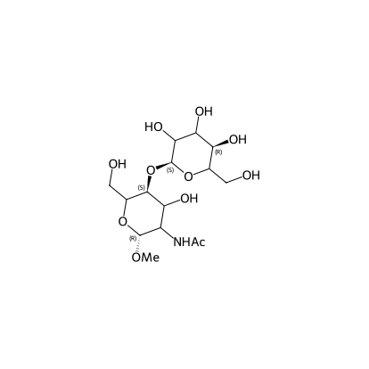 CO[C@@H]1OC(CO)[C@@H](O[C@@H]2OC(CO)[C@H](O)C(O)C2O)C(O)C1NC(C)=O